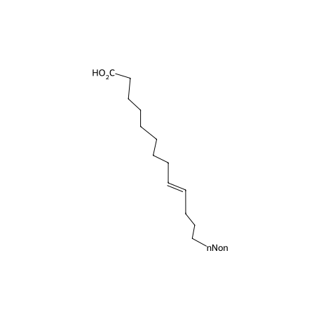 CCCCCCCCCCCCC=CCCCCCCCC(=O)O